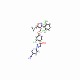 N#Cc1cnc(N2CC(O)(c3ccc(OCc4c(-c5c(Cl)cccc5Cl)noc4C4CC4)cc3Cl)C2)c(F)c1